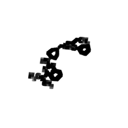 CCC(CNC[C@H]1CC[C@@H](Nc2nc(N(C)C)c3ccccc3n2)CC1)Oc1ccccc1